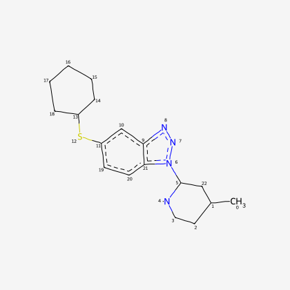 CC1CC[N]C(n2nnc3cc(SC4CCCCC4)ccc32)C1